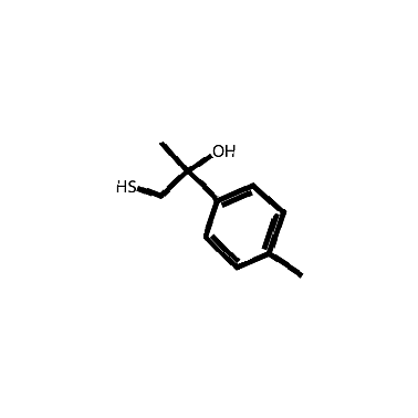 Cc1ccc(C(C)(O)CS)cc1